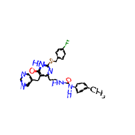 Cc1ccc(NC(=O)NCCc2nc(SCc3ccc(F)cc3)[nH]c(=O)c2Cc2cncnc2)cc1